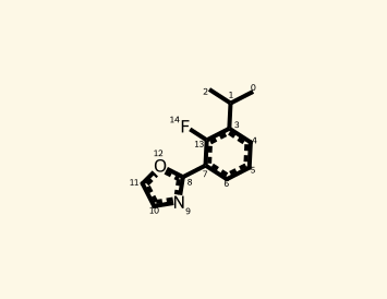 CC(C)c1cccc(-c2ncco2)c1F